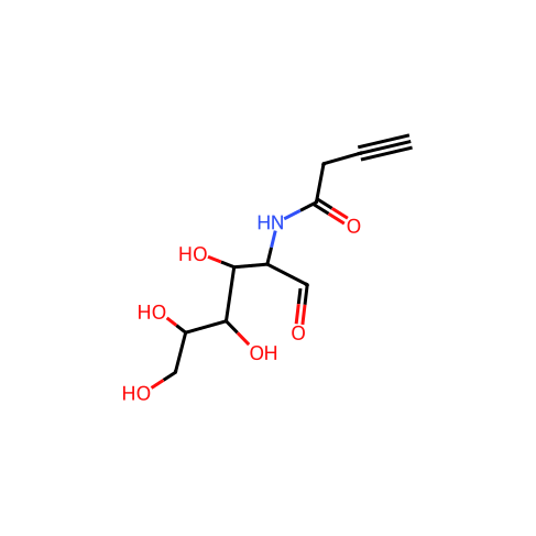 C#CCC(=O)NC(C=O)C(O)C(O)C(O)CO